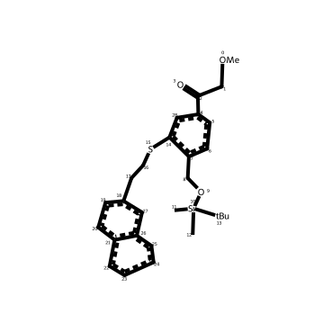 COCC(=O)c1ccc(CO[Si](C)(C)C(C)(C)C)c(SCCc2ccc3ccccc3c2)c1